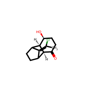 C/C(Cl)=C1/C2CCC1[C@@H]1C(=O)CC[C@H](O)[C@H]21